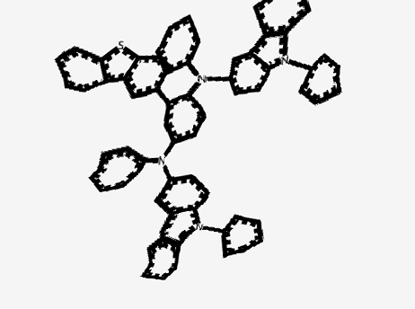 c1ccc(N(c2ccc(N(c3ccccc3)c3ccc4c(c3)c3ccccc3n4-c3ccccc3)c(-c3ccc4sc5ccccc5c4c3)c2)c2ccc3c(c2)c2ccccc2n3-c2ccccc2)cc1